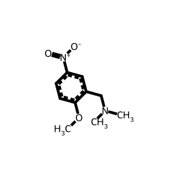 COc1ccc([N+](=O)[O-])cc1CN(C)C